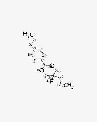 CCCc1ccc(C2OCC(F)(CCC)CO2)cc1